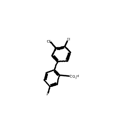 O=C(O)c1cc(F)ccc1-c1ccc(Cl)c(Cl)c1